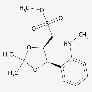 CNc1ccccc1[C@H]1OC(C)(C)O[C@H]1CS(=O)(=O)OC